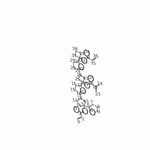 C=CC(=O)OC1(C2CCCO2)CCC(C2CCC(C3(OC(=O)C(=C)C)CC(C4CCC(C5(OC(=O)C=C)CCC5)O4)C3)O2)C1